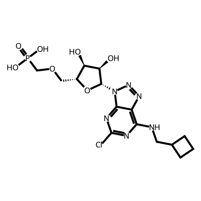 O=P(O)(O)COC[C@H]1O[C@@H](n2nnc3c(NCC4CCC4)nc(Cl)nc32)[C@H](O)[C@@H]1O